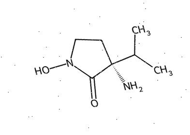 CC(C)[C@]1(N)CCN(O)C1=O